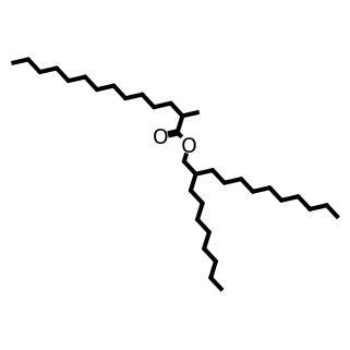 CCCCCCCCCCCCC(C)C(=O)OCC(CCCCCCCC)CCCCCCCCCC